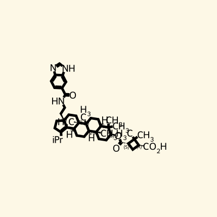 CC(C)C1=C2[C@H]3CC[C@@H]4[C@@]5(C)CC[C@H](OC(=O)[C@H]6C[C@@H](C(=O)O)C6(C)C)C(C)(C)[C@@H]5CC[C@@]4(C)[C@]3(C)CC[C@@]2(CCNC(=O)c2ccc3nc[nH]c3c2)CC1